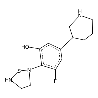 Oc1cc(C2CCCNC2)cc(F)c1N1CCNS1